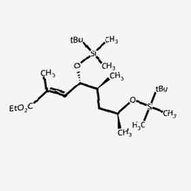 CCOC(=O)/C(C)=C/[C@H](O[Si](C)(C)C(C)(C)C)[C@@H](C)C[C@H](C)O[Si](C)(C)C(C)(C)C